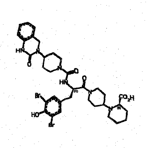 O=C(O)[C@H]1CCCCN1C1CCN(C(=O)[C@@H](Cc2cc(Br)c(O)c(Br)c2)NC(=O)N2CCC(N3Cc4ccccc4NC3=O)CC2)CC1